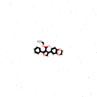 CCOC(=O)C1=C(c2ccccc2)OCC1c1ccc2c(c1)OCCO2